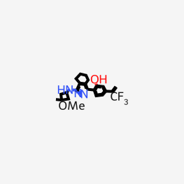 C=C(c1ccc(-c2nnc(NC3CC(C)(OC)C3)c3c2CCCC3)c(O)c1)C(F)(F)F